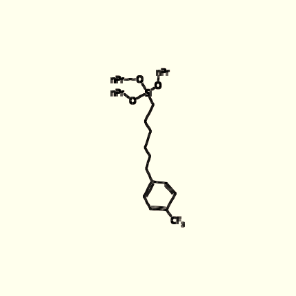 CCCO[Si](CCCCCCc1ccc(C(F)(F)F)cc1)(OCCC)OCCC